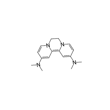 CN(C)C1=CC2=C3C=C(N(C)C)C=CN3CCN2C=C1